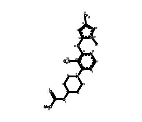 COC(=O)OC1CCN(c2ncnc(Oc3cc(C(F)(F)F)nn3C)c2[N+](=O)[O-])CC1